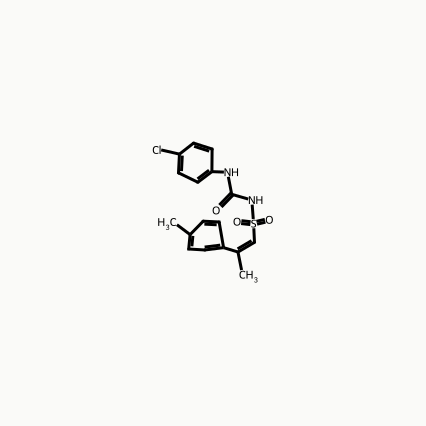 CC(=CS(=O)(=O)NC(=O)Nc1ccc(Cl)cc1)c1ccc(C)cc1